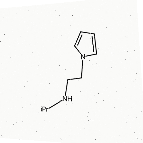 CC(C)NCCn1cccc1